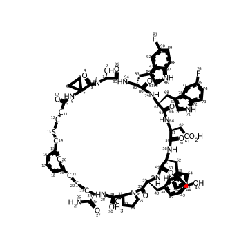 C[C@H]1NC(=O)C2(CC2)NC(=O)CCSCc2cccc(c2)CSC[C@@H](C(N)=O)NC(=O)[C@]2(C)CCCN2C(=O)[C@H](Cc2ccc(O)cc2)NC(=O)[C@H](Cc2cnc[nH]2)NC(=O)[C@H](CC(=O)O)NC(=O)[C@H](Cc2c[nH]c3ccc(F)cc23)NC(=O)[C@@H](Cc2c[nH]c3ccc(F)cc23)NC1=O